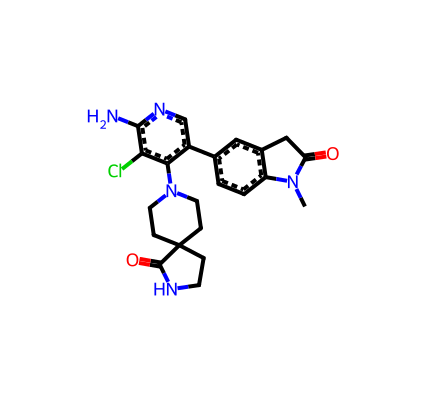 CN1C(=O)Cc2cc(-c3cnc(N)c(Cl)c3N3CCC4(CCNC4=O)CC3)ccc21